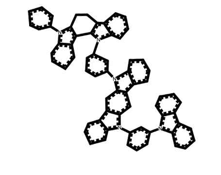 c1ccc(-n2c3c(c4ccccc42)-c2c(c4ccccc4n2-c2cccc(-n4c5ccccc5c5cc6c(cc54)c4ccccc4n6-c4cccc(-n5c6ccccc6c6ccccc65)c4)c2)CC3)cc1